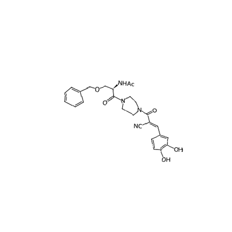 CC(=O)N[C@H](COCc1ccccc1)C(=O)N1CCN(C(=O)/C(C#N)=C/c2ccc(O)c(O)c2)CC1